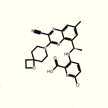 Cc1cc([C@@H](C)Nc2ccc(Cl)nc2C(=O)O)c2nc(N3CCC4(CCO4)CC3)c(C#N)nc2c1